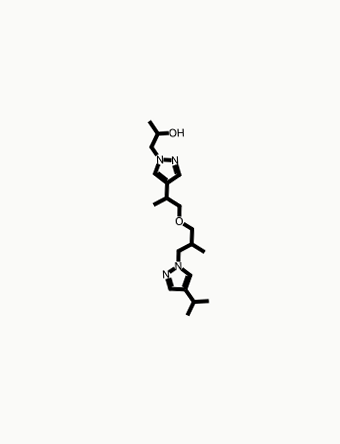 CC(O)Cn1cc(C(C)COCC(C)Cn2cc(C(C)C)cn2)cn1